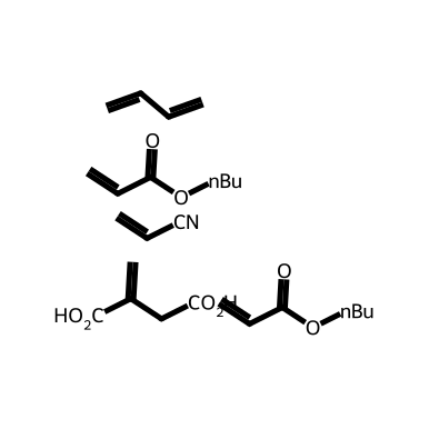 C=C(CC(=O)O)C(=O)O.C=CC#N.C=CC(=O)OCCCC.C=CC(=O)OCCCC.C=CC=C